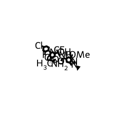 COc1cc(C(=O)NCC(O)(c2cc3c(c(-c4ccc(Cl)cc4F)n2)OC[C@]3(C)C(N)=O)C(F)(F)F)cc2cn(C3CC3)nc12